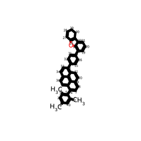 Cc1cc(C)c(-c2ccc3ccc4c(-c5ccc(-c6cccc7c8c(oc67)C=CCC8)cc5)ccc5ccc2c3c54)c(C)c1